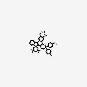 COc1ccc(C2(c3ccc(C)cc3)C=Cc3c4c(c5cc(CS)c(SC)cc5c3O2)-c2ccccc2C42CC(C)(C)CC(C)(C)C2)cc1